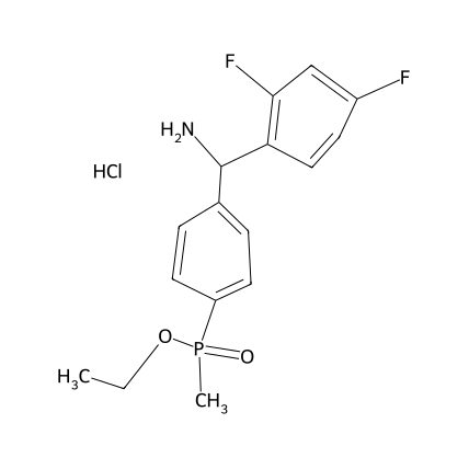 CCOP(C)(=O)c1ccc(C(N)c2ccc(F)cc2F)cc1.Cl